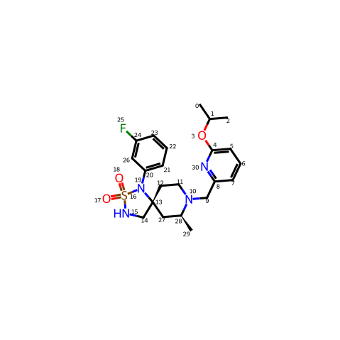 CC(C)Oc1cccc(CN2CC[C@]3(CNS(=O)(=O)N3c3cccc(F)c3)C[C@@H]2C)n1